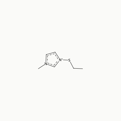 CCS[n+]1ccn(C)c1